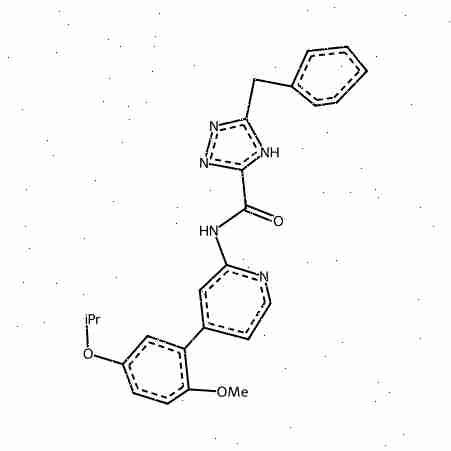 COc1ccc(OC(C)C)cc1-c1ccnc(NC(=O)c2nnc(Cc3ccccc3)[nH]2)c1